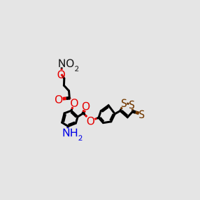 Nc1ccc(OC(=O)CCCO[N+](=O)[O-])c(C(=O)Oc2ccc(-c3cc(=S)ss3)cc2)c1